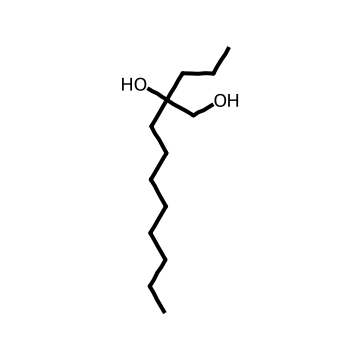 CCCCCCCCC(O)(CO)CCC